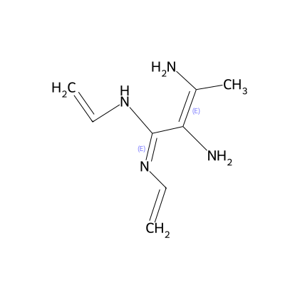 C=C/N=C(NC=C)\C(N)=C(\C)N